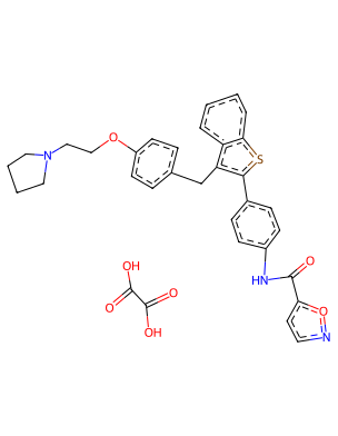 O=C(Nc1ccc(-c2sc3ccccc3c2Cc2ccc(OCCN3CCCC3)cc2)cc1)c1ccno1.O=C(O)C(=O)O